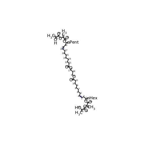 CCCCCCC(C/C=C\CCCCCCCC(=O)OCCCOC(=O)CCCCCCC/C=C\CC(CCCCC)OC(=O)C(C)OC(=O)C(C)O)OC(=O)C(C)OC(=O)C(C)O